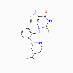 O=c1[nH]c(=S)n(Cc2ccccc2[C@H]2C[C@@H](C(F)F)CCN2)c2cc[nH]c12